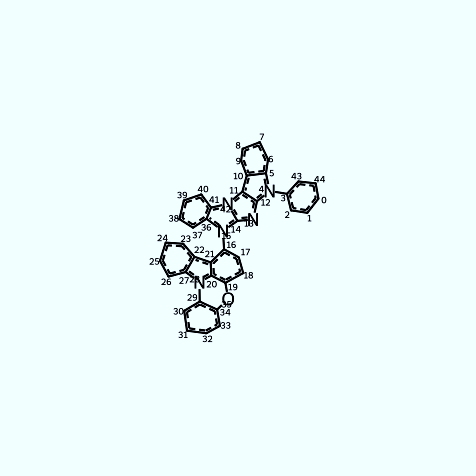 c1ccc(-n2c3ccccc3c3c2nc2n(-c4ccc5c6c4c4ccccc4n6-c4ccccc4O5)c4ccccc4n32)cc1